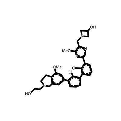 COc1cc(-c2cccc(-c3cccc(-c4cnc(CN5CC(O)C5)c(OC)n4)c3Cl)c2Cl)cc2c1CCN(CCO)C2